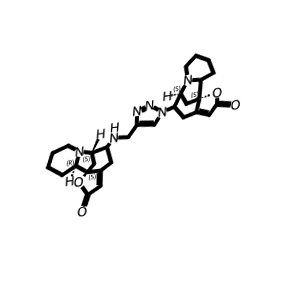 O=C1C=C2CC(n3cc(CNC4CC5=CC(=O)O[C@@]56C[C@@H]4N4CCCC[C@@H]46)nn3)[C@@H]3C[C@@]2(O1)C1CCCCN13